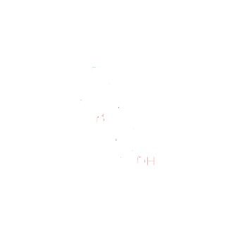 Oc1ccc(-c2cc3cc(F)ccc3o2)cc1